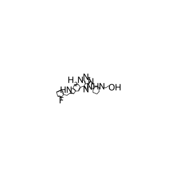 Nc1ncnc2c1c(-c1ccc3[nH]c(Cc4ccccc4F)cc3c1)nn2C1CCCC(NCCO)C1